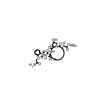 CC(C)(C)OC(=O)N[C@H]1CCCCC/C=C\[C@@H]2C[C@@]2(C(=O)NS(=O)(=O)c2ccccc2OCC(N)=O)NC(=O)[C@@H]2C[C@@H](O)CN2C1=O